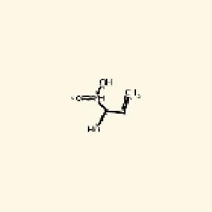 C=CC(O)[PH](=O)O